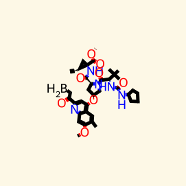 BCC(=O)c1cc(O[C@@H]2C[C@@H](C(=O)N[C@]3(C(=O)OC)C[C@H]3C=C)N(C(=O)[C@@H](NC(=O)NC3CCCC3)C(C)(C)C)C2)c2cc(C)c(OC)cc2n1